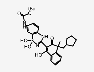 CC(C)(C)OC(=O)Nc1ccc2c(c1)S(O)(O)N=C(C1=C(O)c3ccccc3C(C)(CC3CCCC3)C1=O)N2